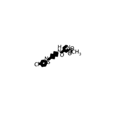 CS(=O)(=O)c1cc(C(=O)NC2CC3(C2)CC(c2nc4cc(Cl)ccc4s2)C3)ccn1